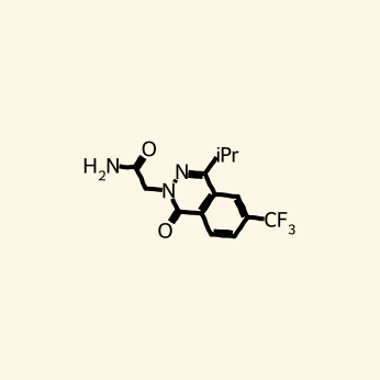 CC(C)c1nn(CC(N)=O)c(=O)c2ccc(C(F)(F)F)cc12